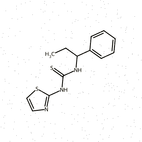 CCC(NC(=S)Nc1nccs1)c1ccccc1